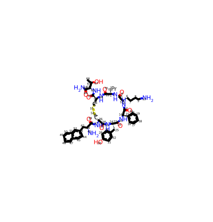 CC(C)[C@@H]1NC(=O)[C@H](CCCCN)NC(=O)[C@@H](c2ccccc2)NC(=O)[C@H](Cc2ccc(O)cc2)NC(=O)[C@@H](NC(=O)[C@H](N)Cc2ccc3ccccc3c2)CSSC[C@@H](C(=O)N[C@H](C(N)=O)C(C)O)NC1=O